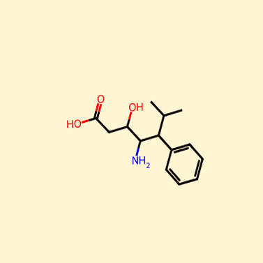 CC(C)C(c1ccccc1)C(N)C(O)CC(=O)O